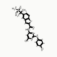 CC(C)(c1ccc2sc(C(=O)Nc3cc(Cl)nc(Oc4ccc(Cl)cc4)n3)cc2c1)S(C)(=O)=O